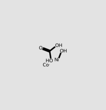 O=C(O)O.[Co].[OH][Ni]